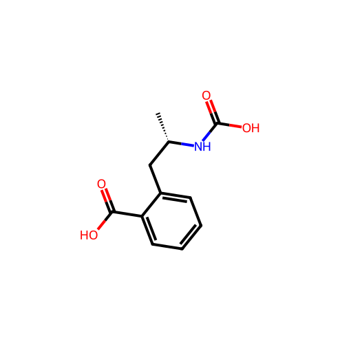 C[C@@H](Cc1ccccc1C(=O)O)NC(=O)O